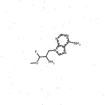 COC(F)C(P)Cn1cnc2c(N)ncnc21